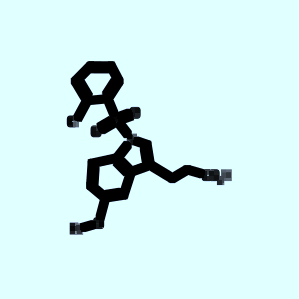 CCOc1ccc2c(c1)c(CCC(=O)O)cn2S(=O)(=O)c1ccccc1Cl